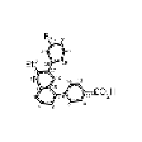 CCc1nc2cccc(-c3ccc(C(=O)O)cc3)c2cc1-c1cccc(F)c1